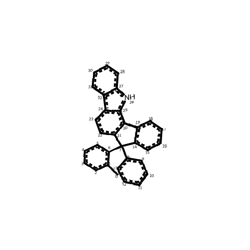 Cc1ccccc1C1(c2ccccc2)c2ccccc2-c2c1ccc1c2[nH]c2ccccc21